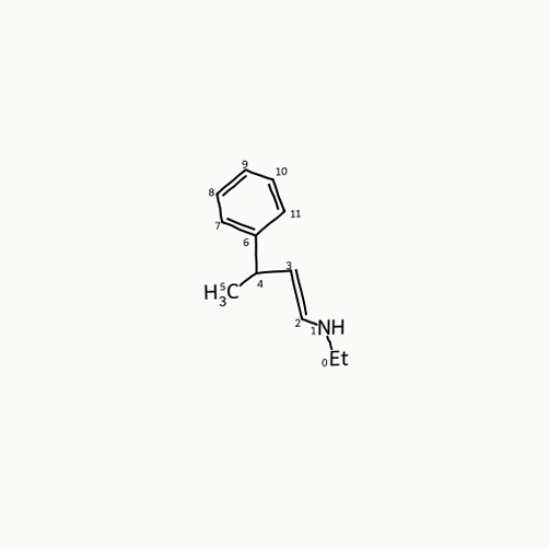 CCN/C=C/C(C)c1ccccc1